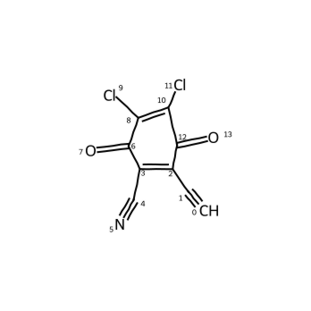 C#CC1=C(C#N)C(=O)C(Cl)=C(Cl)C1=O